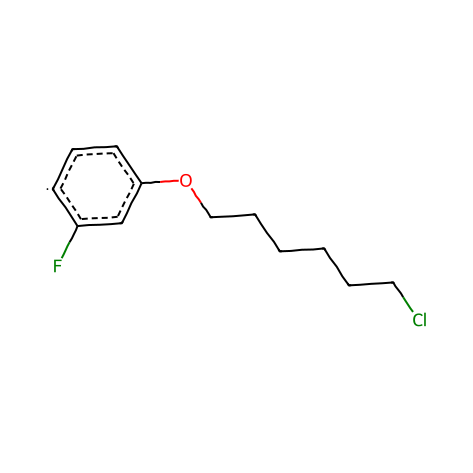 Fc1[c]ccc(OCCCCCCCl)c1